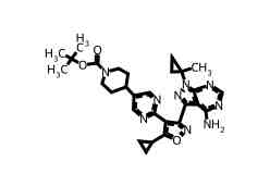 CC(C)(C)OC(=O)N1CCC(c2cnc(-c3c(-c4nn(C5(C)CC5)c5ncnc(N)c45)noc3C3CC3)nc2)CC1